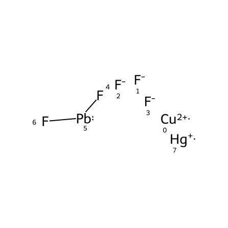 [Cu+2].[F-].[F-].[F-].[F][Pb][F].[Hg+]